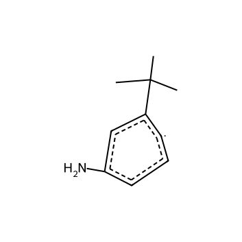 CC(C)(C)c1[c]ccc(N)c1